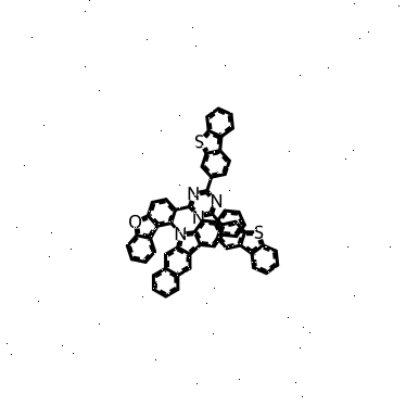 c1ccc2cc3c(cc2c1)c1cc2ccccc2cc1n3-c1c(-c2nc(-c3ccc4c(c3)sc3ccccc34)nc(-c3ccc4c(c3)sc3ccccc34)n2)ccc2oc3ccccc3c12